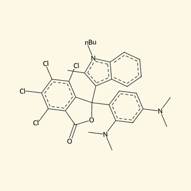 CCCCn1c(C)c(C2(c3ccc(N(C)C)cc3N(C)C)OC(=O)c3c(Cl)c(Cl)c(Cl)c(Cl)c32)c2ccccc21